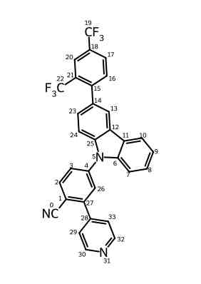 N#Cc1ccc(-n2c3ccccc3c3cc(-c4ccc(C(F)(F)F)cc4C(F)(F)F)ccc32)cc1-c1ccncc1